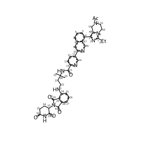 CCc1nc(-c2cccc3cc(-c4ccc(C(=O)NC(C)(C)CCNc5cccc6c5C(=O)N(C5CCC(=O)NC5=O)C6=O)nc4)ncc23)c2n1CCN(C(C)=O)C2